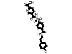 O=C(NCCc1ccc(Cl)cc1)c1ccc(S(=O)(=O)NC(=O)c2ccc(C(=O)O)nc2)cc1